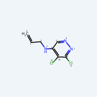 C=CCNc1cnnc(Cl)c1Cl